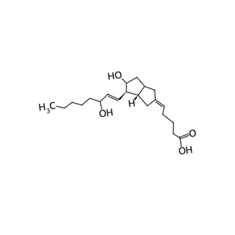 CCCCCC(O)C=C[C@H]1C(O)CC2CC(=CCCCC(=O)O)C[C@@H]21